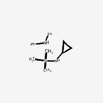 CCNC(C)C.C[Si](C)(C)NC1CC1